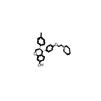 Cc1ccc([C@H]2COc3cc(O)ccc3[C@H]2c2ccc(OCCN3CCCCC3)cc2)cc1